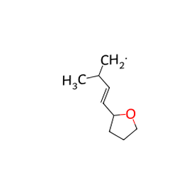 [CH2]C(C)C=CC1CCCO1